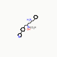 N[C@@H](CCC(Cc1ccc(-c2ccncc2)cc1)N(O)C(=O)O)Cc1ccccc1